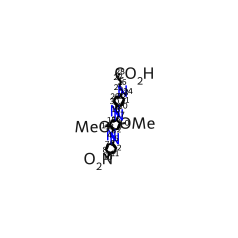 COc1cc(/N=N/c2ccc([N+](=O)[O-])cc2)c(OC)cc1/N=N/c1ccc(N(C)CCCC(=O)O)cc1